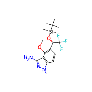 COc1c([C@@H](O[Si](C)(C)C(C)(C)C)C(F)(F)F)ccc2c1c(N)nn2C